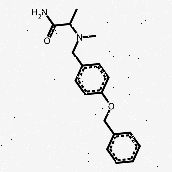 CC(C(N)=O)N(C)Cc1ccc(OCc2ccccc2)cc1